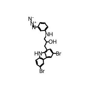 [N-]=[N+]=Nc1cccc(NCC(O)Cc2cc(Br)cc3c2[nH]c2ccc(Br)cc23)c1